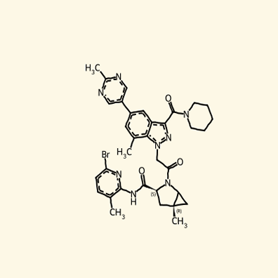 Cc1ncc(-c2cc(C)c3c(c2)c(C(=O)N2CCCCC2)nn3CC(=O)N2C3C[C@]3(C)C[C@H]2C(=O)Nc2nc(Br)ccc2C)cn1